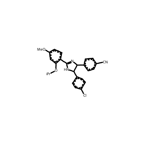 COc1ccc(C2=NC(c3ccc(C#N)cc3)C(c3ccc(Cl)cc3)N2)c(OC(C)C)c1